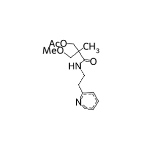 COCC(C)(COC(C)=O)C(=O)NCCc1ccccn1